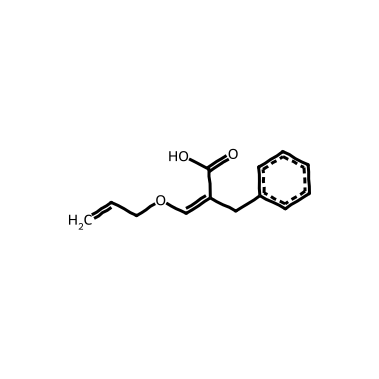 C=CCOC=C(Cc1ccccc1)C(=O)O